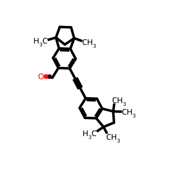 CC1(C)CC(C)(C)c2cc(C#Cc3cc4c(cc3C=O)C3(C)CCC4(C)C3)ccc21